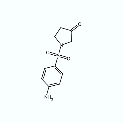 Nc1ccc(S(=O)(=O)N2CCC(=O)C2)cc1